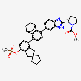 CC(C)(C)OC(=O)N1CCC[C@H]1c1nc2ccc(-c3ccc(-c4ccc(OS(=O)(=O)C(F)(F)F)c5c4CC4(CCCC4)C5)c4c3C3CCC4CC3)cc2[nH]1